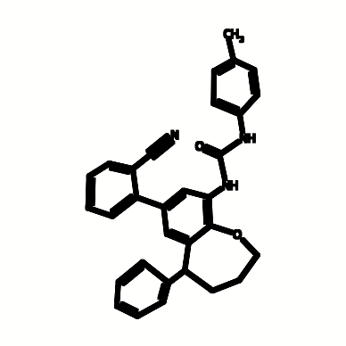 Cc1ccc(NC(=O)Nc2cc(-c3ccccc3C#N)cc3c2OCCCC3c2ccccc2)cc1